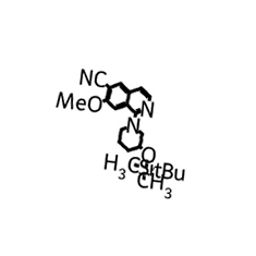 COc1cc2c(N3CCCC(O[Si](C)(C)C(C)(C)C)C3)nccc2cc1C#N